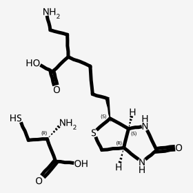 NCCC(CCC[C@@H]1SC[C@@H]2NC(=O)N[C@@H]21)C(=O)O.N[C@@H](CS)C(=O)O